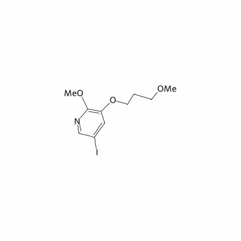 COCCCOc1cc(I)cnc1OC